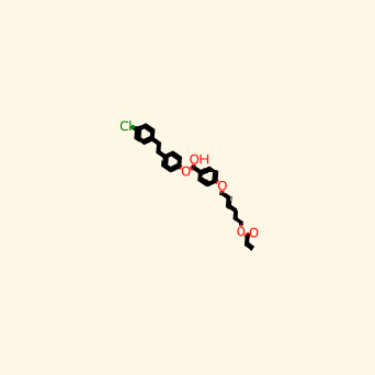 C=CC(=O)OCCCCCCOc1ccc(C(O)Oc2ccc(CCc3ccc(Cl)cc3)cc2)cc1